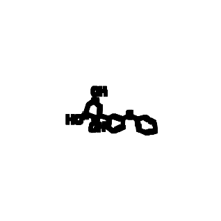 O[C@@H]1C=C(c2cccc(Sc3ccccc3)c2)[C@H](O)[C@@H](O)C1